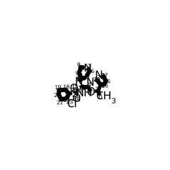 CC(Oc1nc2cnccc2nc1NS(=O)(=O)c1ccccc1Cl)c1cccnc1